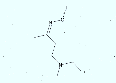 CCN(C)CC/C(C)=N\OI